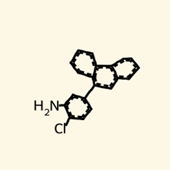 Nc1cc(-c2cc3ccccc3c3ccccc23)ccc1Cl